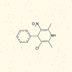 CC1=C(Cl)C(c2ccccc2)C([N+](=O)[O-])=C(C)N1